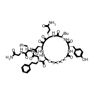 CC[C@H](C)[C@@H]1NC(=O)[C@H](Cc2ccc(O)cc2)NC(=O)CCCSC[C@@H](C(=O)N(CCc2ccccc2)CC(=O)N[C@@H](CC(C)C)C(=O)NCC(N)=O)NN[C@@H](CC(N)=O)C(=O)C(=O)[C@H](CCC(N)=O)NC1=O